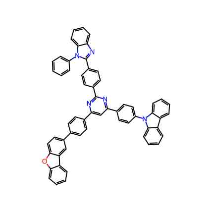 c1ccc(-n2c(-c3ccc(-c4nc(-c5ccc(-c6ccc7oc8ccccc8c7c6)cc5)cc(-c5ccc(-n6c7ccccc7c7ccccc76)cc5)n4)cc3)nc3ccccc32)cc1